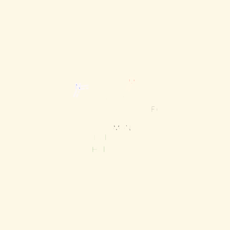 CCC(NC)C(=O)c1cccnc1.Cl.Cl